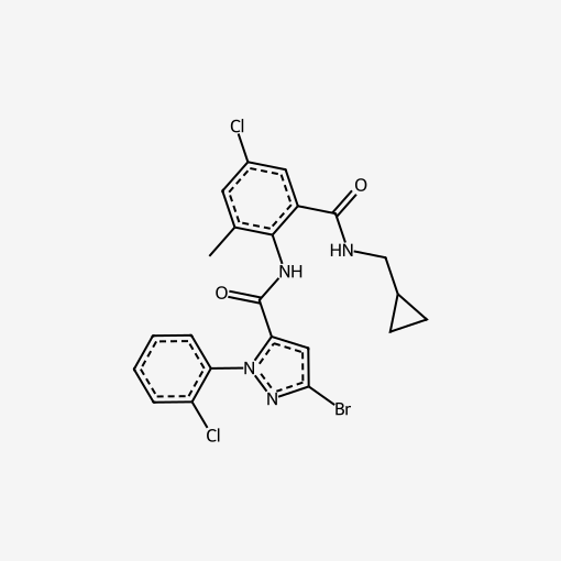 Cc1cc(Cl)cc(C(=O)NCC2CC2)c1NC(=O)c1cc(Br)nn1-c1ccccc1Cl